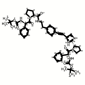 CC(C)(C)OC(=O)N[C@@H](C(=O)N1CCC[C@H]1C(=O)NCCc1ccc(C#Cc2cnc([C@@H]3CCCN3C(=O)[C@H](NC(=O)OC(C)(C)C)c3ccccc3)[nH]2)cc1)c1ccccc1